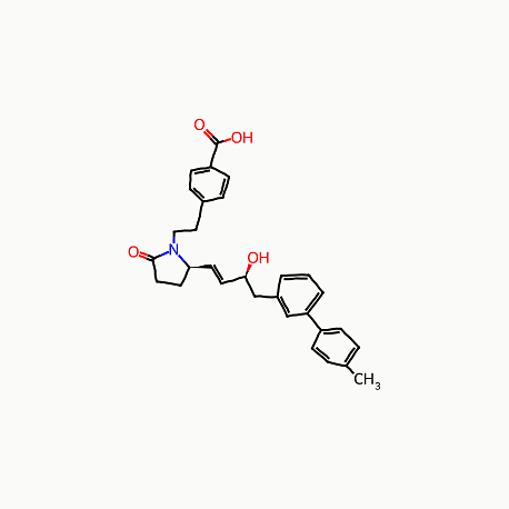 Cc1ccc(-c2cccc(C[C@H](O)/C=C/[C@H]3CCC(=O)N3CCc3ccc(C(=O)O)cc3)c2)cc1